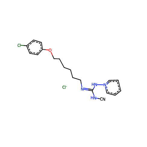 N#CN/C(=N/CCCCCCOc1ccc(Cl)cc1)N[n+]1ccccc1.[Cl-]